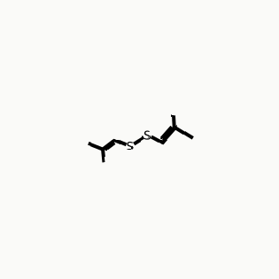 CC(C)=CSSC=C(C)C